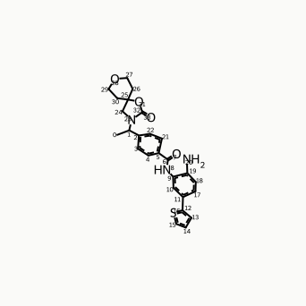 CC(c1ccc(C(=O)Nc2cc(-c3cccs3)ccc2N)cc1)N1CC2(CCOCC2)OC1=O